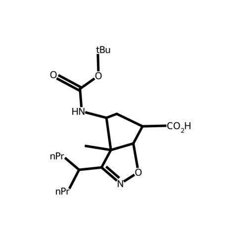 CCCC(CCC)C1=NOC2C(C(=O)O)CC(NC(=O)OC(C)(C)C)C12C